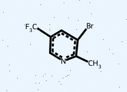 Cc1ncc(C(F)(F)F)cc1Br